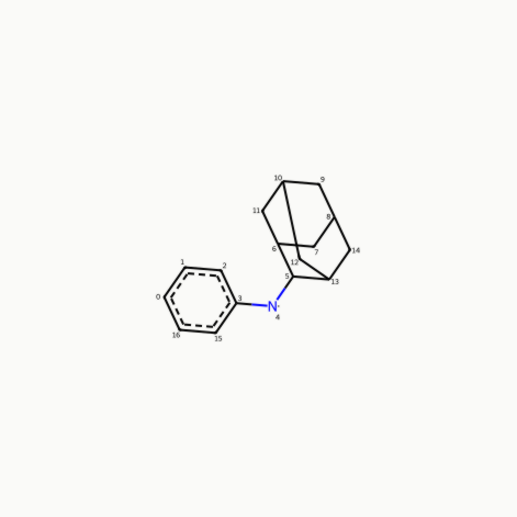 c1ccc([N]C2C3CC4CC(C3)CC2C4)cc1